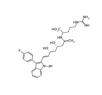 C=C(C[C@@H](O)C[C@@H](O)/C=C/c1c(-c2ccc(F)cc2)c2ccccc2n1C(C)C)NC(CCCNC(=N)N)C(=O)O